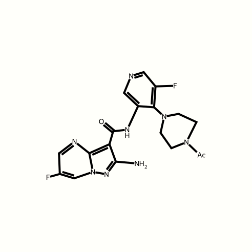 CC(=O)N1CCN(c2c(F)cncc2NC(=O)c2c(N)nn3cc(F)cnc23)CC1